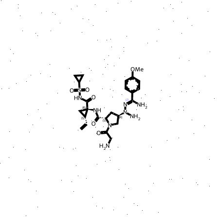 C=C[C@@H]1C[C@]1(NC(=O)[C@@H]1C[C@@H](N(N)/N=C(\N)c2ccc(OC)cc2)CN1C(=O)CN)C(=O)NS(=O)(=O)C1CC1